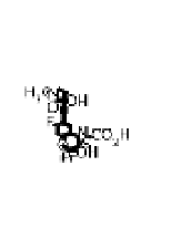 CC(C)C1(O)COc2cc(F)c(C#C[C@]3(O)CCN(C)C3=O)cc2-c2nc(C(=O)O)sc21